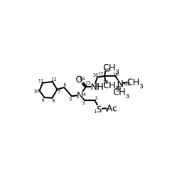 CC(=O)SCCN(CCC1CCCCC1)C(=O)NCC(C)(C)CN(C)C